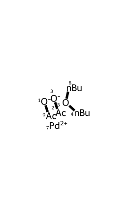 CC(=O)[O-].CC(=O)[O-].CCCCOCCCC.[Pd+2]